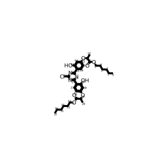 CCCCCCOC(=O)C(C)Oc1ccc(-c2nc(Cl)nc(-c3ccc(OC(C)C(=O)OCCCCCC)cc3O)n2)c(O)c1